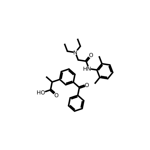 CC(C(=O)O)c1cccc(C(=O)c2ccccc2)c1.CCN(CC)CC(=O)Nc1c(C)cccc1C